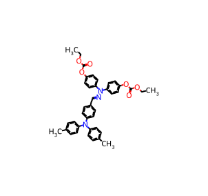 CCOC(=O)Oc1ccc(N(N=Cc2ccc(N(c3ccc(C)cc3)c3ccc(C)cc3)cc2)c2ccc(OC(=O)OCC)cc2)cc1